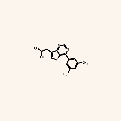 Cc1cc(C)cc(-c2ncnc3c(CC(C)C)csc23)c1